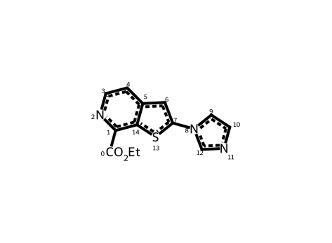 CCOC(=O)c1nccc2cc(-n3ccnc3)sc12